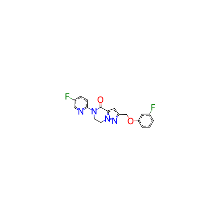 O=C1c2cc(COc3cccc(F)c3)nn2CCN1c1ccc(F)cn1